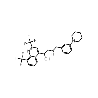 OC(CNCc1cccc(N2CCCCC2)c1)c1cc(C(F)(F)F)nc2c(C(F)(F)F)cccc12